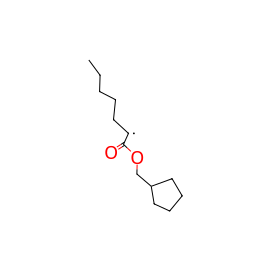 CCCCC[CH]C(=O)OCC1CCCC1